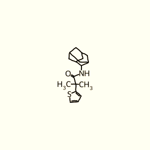 CC(C)(C(=O)NC1C2CC3CC(C2)CC1C3)c1cccs1